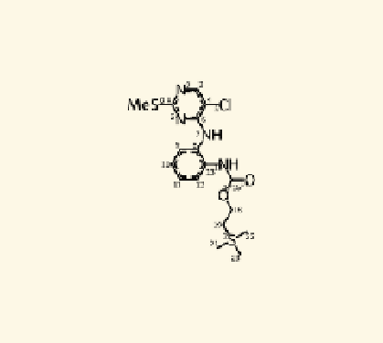 CSc1ncc(Cl)c(Nc2ccccc2NC(=O)OCCS(C)(C)C)n1